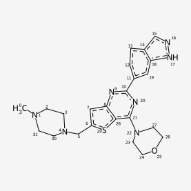 CN1CCN(Cc2cc3nc(-c4ccc5cn[nH]c5c4)nc(N4CCOCC4)c3s2)CC1